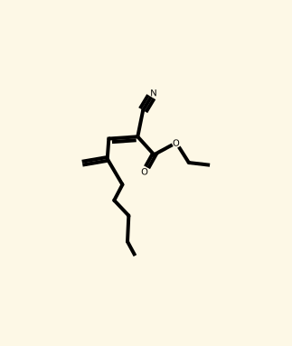 C=C(C=C(C#N)C(=O)OCC)CCCCC